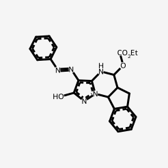 CCOC(=O)OC1Nc2c(N=Nc3ccccc3)c(O)nn2C2c3ccccc3CC12